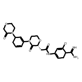 N=C(N)C1CC=C(NC(=O)C[C@H]2OCCN(C3=CC(N4CCOCC4=O)CC=C3)C2=O)C=C1Cl